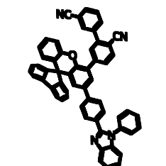 N#Cc1cccc(-c2cc(-c3cc(-c4ccc(-c5nc6ccccc6n5-c5ccccc5)cc4)cc4c3Oc3ccccc3C43c4ccccc4-c4ccccc43)ccc2C#N)c1